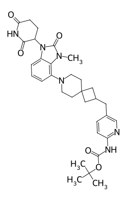 Cn1c(=O)n(C2CCC(=O)NC2=O)c2cccc(N3CCC4(CC3)CC(Cc3ccc(NC(=O)OC(C)(C)C)nc3)C4)c21